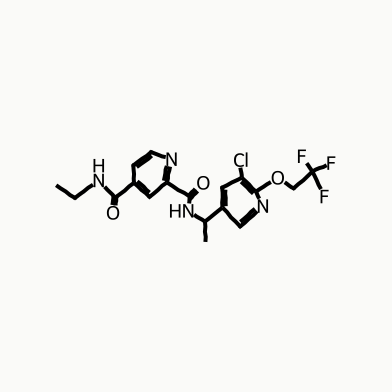 CCNC(=O)c1ccnc(C(=O)NC(C)c2cnc(OCC(F)(F)F)c(Cl)c2)c1